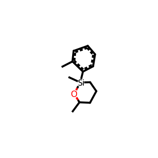 Cc1ccccc1[Si]1(C)CCCC(C)O1